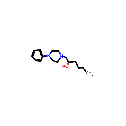 [CH2]CCCC(O)CN1CCN(c2ccccc2)CC1